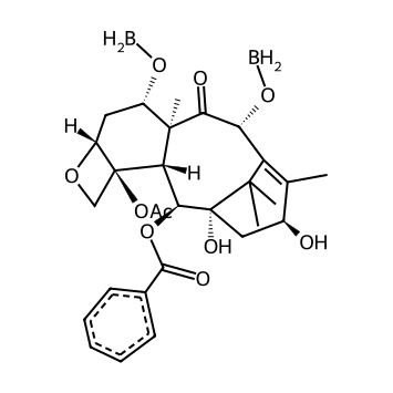 BO[C@H]1C(=O)[C@]2(C)[C@@H](OB)C[C@H]3OC[C@@]3(OC(C)=O)[C@H]2[C@H](OC(=O)c2ccccc2)[C@]2(O)C[C@H](O)C(C)=C1C2(C)C